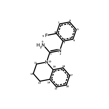 NC(=Nc1ccccc1F)N1CCCc2ccccc21